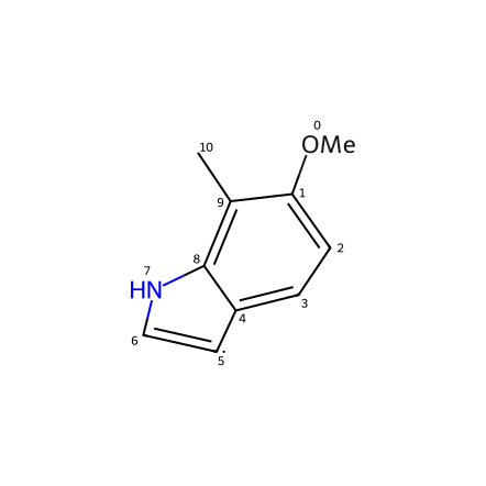 COc1ccc2[c]c[nH]c2c1C